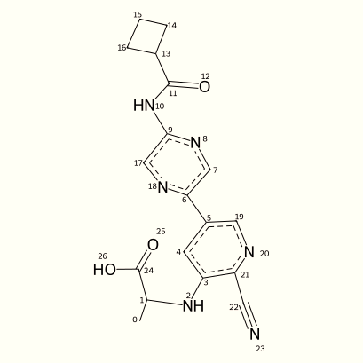 CC(Nc1cc(-c2cnc(NC(=O)C3CCC3)cn2)cnc1C#N)C(=O)O